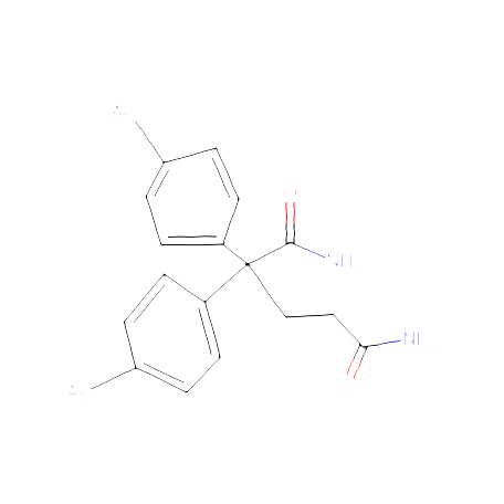 CC(=O)c1ccc(C(CCC(N)=O)(C(N)=O)c2ccc(C(C)=O)cc2)cc1